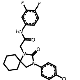 O=C(CN1C(=O)N(c2ccc(Cl)cc2)CC12CCCCC2)Nc1ccc(F)c(F)c1